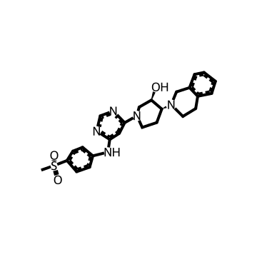 CS(=O)(=O)c1ccc(Nc2cc(N3CC[C@@H](N4CCc5ccccc5C4)[C@H](O)C3)ncn2)cc1